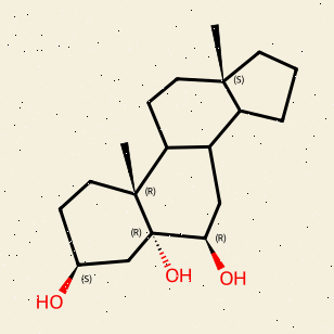 C[C@@]12CCCC1C1C[C@@H](O)[C@@]3(O)C[C@@H](O)CC[C@]3(C)C1CC2